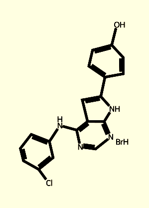 Br.Oc1ccc(-c2cc3c(Nc4cccc(Cl)c4)ncnc3[nH]2)cc1